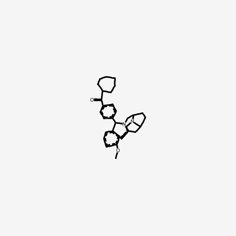 C=CCN1C2CCC1CN(C(c1ccc(C(=O)C3CCCCCC3)cc1)c1cccc(OC)c1)CC2